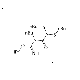 CCCCSN(SCCCC)C(=O)N(CCCC)C(=N)OC(C)C